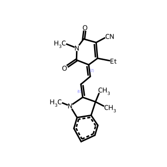 CCC1=C(C#N)C(=O)N(C)C(=O)/C1=C\C=C1\N(C)c2ccccc2C1(C)C